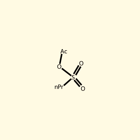 CCCS(=O)(=O)OC(C)=O